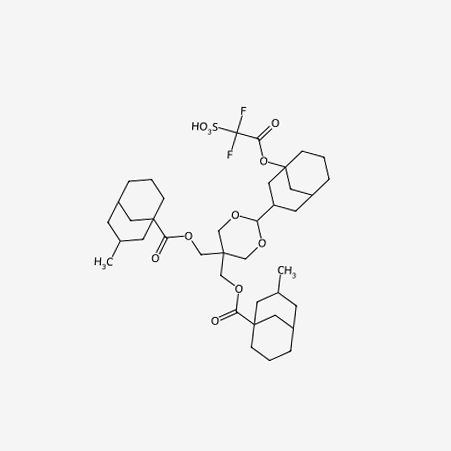 CC1CC2CCCC(C(=O)OCC3(COC(=O)C45CCCC(CC(C)C4)C5)COC(C4CC5CCCC(OC(=O)C(F)(F)S(=O)(=O)O)(C5)C4)OC3)(C1)C2